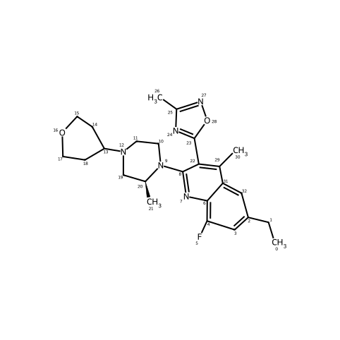 CCc1cc(F)c2nc(N3CCN(C4CCOCC4)C[C@@H]3C)c(-c3nc(C)no3)c(C)c2c1